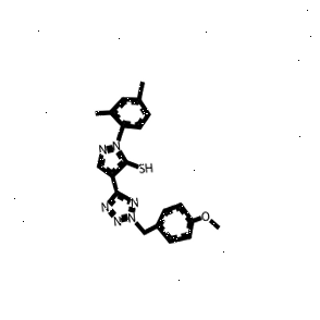 COc1ccc(Cn2nnc(-c3cnn(-c4ccc(C)cc4C)c3S)n2)cc1